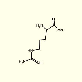 N=C(N)NCCCC(N)[C](=O)[Mn]